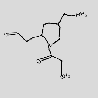 BCC(=O)N1CC(CN)CC1CC=O